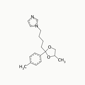 Cc1ccc(C2(CCCCn3ccnc3)OCC(C)O2)cc1